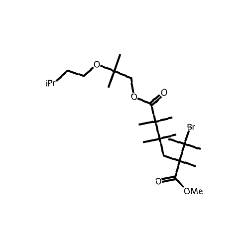 COC(=O)C(C)(CC(C)(C)C(C)(C)C(=O)OCC(C)(C)OCCC(C)C)C(C)(C)Br